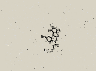 O=C(O)CCC(=O)N(Cc1nc2c(F)c(F)cc(F)c2s1)c1ccc(Br)cc1